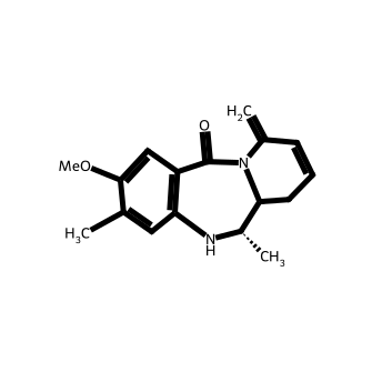 C=C1C=CCC2[C@H](C)Nc3cc(C)c(OC)cc3C(=O)N12